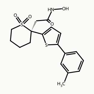 Cc1cccc(-c2ccc([C@@]3(CC(=O)NO)CCCCS3(=O)=O)s2)c1